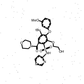 COc1cccc(Oc2c(C(C)(C)C)cc(C(=O)N3CCOCC3)c(S(=O)(=O)Nc3ccncn3)c2OCCO)c1